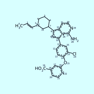 CC=CN1CCCC(c2nc(-c3ccc(Oc4cc(C(=O)O)ccn4)c(Cl)c3)n3c(N)nccc23)C1